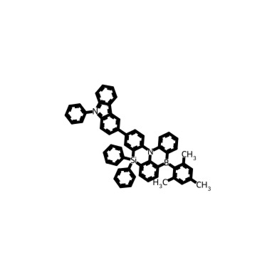 Cc1cc(C)c(B2c3ccccc3N3c4ccc(-c5ccc6c(c5)c5ccccc5n6-c5ccccc5)cc4[Si](c4ccccc4)(c4ccccc4)c4cccc2c43)c(C)c1